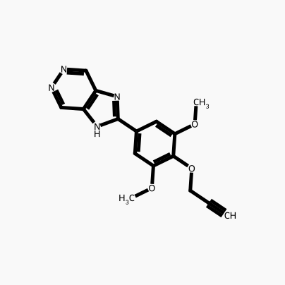 C#CCOc1c(OC)cc(-c2nc3cnncc3[nH]2)cc1OC